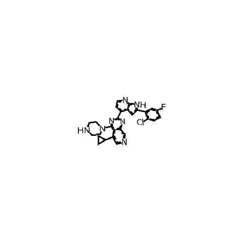 Fc1ccc(Cl)c(-c2cc3c(-c4nc(N5CCNCC5)c5c(C6CC6)cncc5n4)ccnc3[nH]2)c1